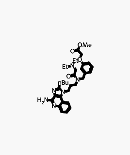 CCCCc1nc2c(N)nc3ccccc3c2n1CCCN(Cc1cccc(OCC(=O)OC)c1)C(=O)CN(CC)CC